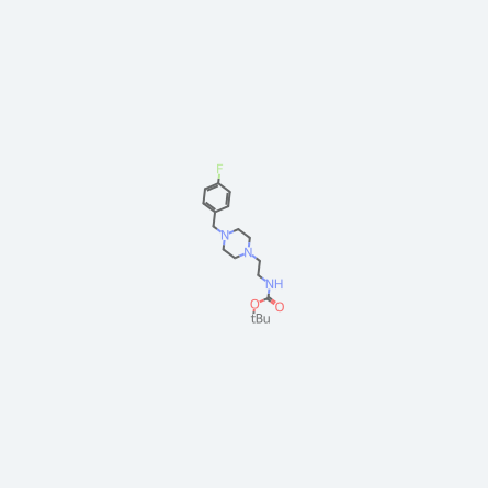 CC(C)(C)OC(=O)NCCN1CCN(Cc2ccc(F)cc2)CC1